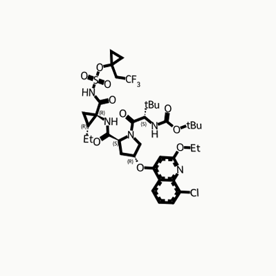 CCOc1cc(O[C@@H]2C[C@@H](C(=O)N[C@]3(C(=O)NS(=O)(=O)OC4(CC(F)(F)F)CC4)C[C@H]3CC)N(C(=O)[C@@H](NC(=O)OC(C)(C)C)C(C)(C)C)C2)c2cccc(Cl)c2n1